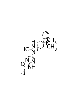 CN(C)[C@]1(c2ccccc2)CC[C@]2(CC1)CN(c1cnc(NC(=O)C3CC3)nc1)C(O)N2